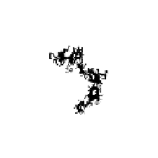 Cc1ncoc1-c1nnc(SCCCN2C[C@@H]3C[C@]3(c3ccc(Cn4cccc4)c(F)c3)C2)n1C